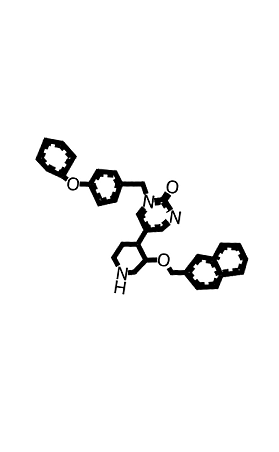 O=c1ncc(C2CCNCC2OCc2ccc3ccccc3c2)cn1Cc1ccc(Oc2ccccc2)cc1